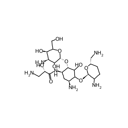 NC[C@@H]1CCC(N)[C@@H](OC2C(O)[C@@H](O[C@H]3OC(CO)[C@H](O)[C@H](N)C3O)[C@H](NC(=O)[C@@H](O)CN)C[C@@H]2N)O1